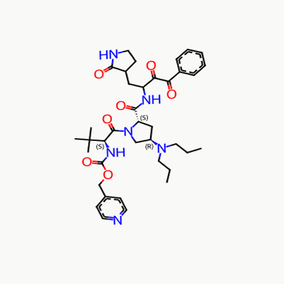 CCCN(CCC)[C@@H]1C[C@@H](C(=O)NC(CC2CCNC2=O)C(=O)C(=O)c2ccccc2)N(C(=O)[C@@H](NC(=O)OCc2ccncc2)C(C)(C)C)C1